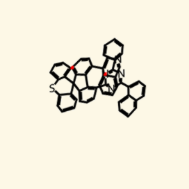 c1ccc(-c2nc(-c3cccc4c3-c3c(-c5cncc6ccccc56)cccc3C43c4ccccc4Sc4ccccc43)nc(-c3cccc4ccccc34)n2)cc1